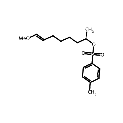 COC=CCCCC[C@@H](C)OS(=O)(=O)c1ccc(C)cc1